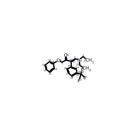 CCN(/C=C(/C(=O)COc1ccccc1)c1cccc(C(F)(F)F)c1)CC